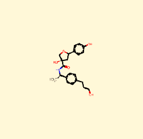 O=C(O)[C@@H](NC(=O)[C@]1(O)COC(c2ccc(O)cc2)C1)c1ccc(CCCO)cc1